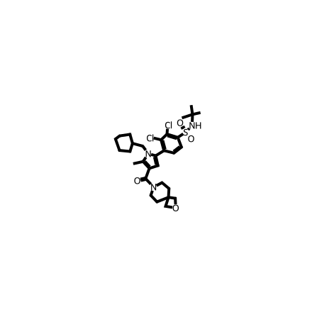 Cc1c(C(=O)N2CCC3(CC2)COC3)cc(-c2ccc(S(=O)(=O)NC(C)(C)C)c(Cl)c2Cl)n1CC1CCCCC1